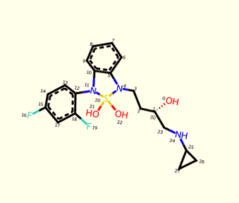 O[C@@H](CCN1c2ccccc2N(c2ccc(F)cc2F)S1(O)O)CNC1CC1